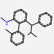 CNc1cccc(C(c2ccccc2)C(C)C)c1-c1ccccc1C